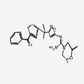 CC1CN(/C(N)=N/c2cc(C(C)(C)c3cccc(C(=O)c4ccccc4)c3)no2)CC(C)O1